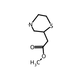 COC(=O)CC1C[N]CCS1